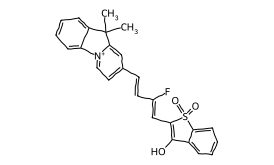 CC1(C)c2ccccc2-[n+]2ccc(/C=C/C(F)=C/C3=C(O)c4ccccc4S3(=O)=O)cc21